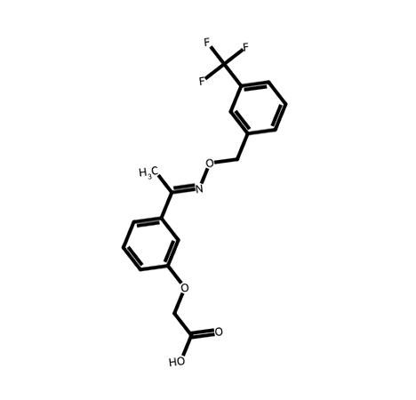 C/C(=N\OCc1cccc(C(F)(F)F)c1)c1cccc(OCC(=O)O)c1